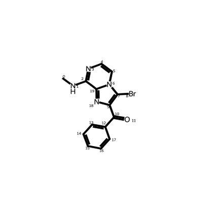 CNc1nccn2c(Br)c(C(=O)c3ccccc3)nc12